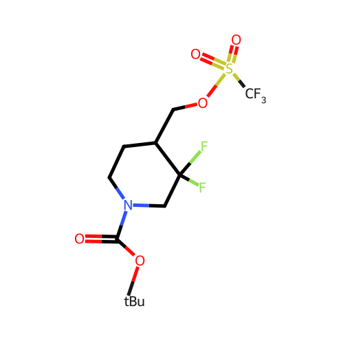 CC(C)(C)OC(=O)N1CCC(COS(=O)(=O)C(F)(F)F)C(F)(F)C1